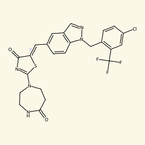 O=C1CCN(C2=NC(=O)/C(=C/c3ccc4c(cnn4Cc4ccc(Cl)cc4C(F)(F)F)c3)S2)CCN1